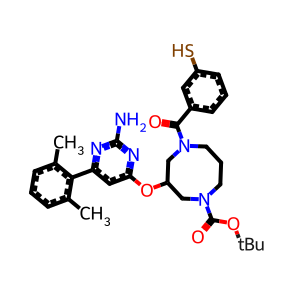 Cc1cccc(C)c1-c1cc(OC2CN(C(=O)OC(C)(C)C)CCCN(C(=O)c3cccc(S)c3)C2)nc(N)n1